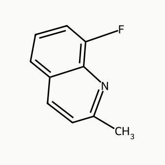 Cc1ccc2cccc(F)c2n1